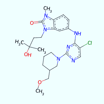 COCC1CCCN(c2ncc(Cl)c(Nc3ccc4c(c3)n(CCC(C)(C)O)c(=O)n4C)n2)C1